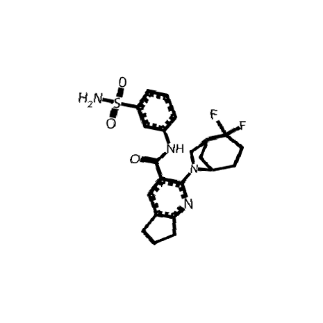 NS(=O)(=O)c1cccc(NC(=O)c2cc3c(nc2N2CC4CC2CCC4(F)F)CCC3)c1